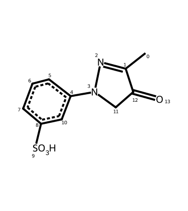 CC1=NN(c2cccc(S(=O)(=O)O)c2)CC1=O